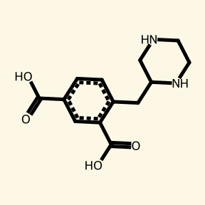 O=C(O)c1ccc(CC2CNCCN2)c(C(=O)O)c1